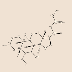 CC[C@H]1[C@@H](O)[C@@H]2[C@H](CC[C@]3(C)[C@@H]([C@H](C)CC(=O)OC)CC[C@@H]23)[C@@]2(C)CC[C@@H](C)C[C@@H]12